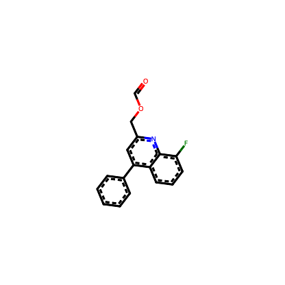 O=COCc1cc(-c2ccccc2)c2cccc(F)c2n1